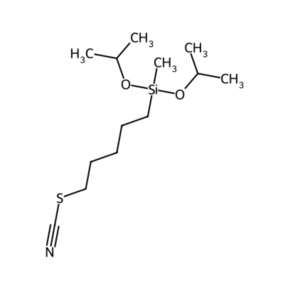 CC(C)O[Si](C)(CCCCCSC#N)OC(C)C